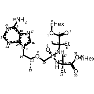 CCCCCCOC(=O)C(C)(CC)NP(=O)(CO[C@H](C)Cn1cnc2c(N)ncnc21)N[C@@](C)(CC)C(=O)OCCCCCC